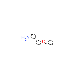 Nc1cccc(-c2cccc(OCc3ccccc3)c2)c1